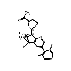 CC(=O)N1CCO[C@H]([C@@]23CC[C@@H](c4cc(-c5c(F)cccc5F)nnc42)C3(C)C)C1